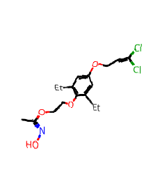 CCc1cc(OCC=C(Cl)Cl)cc(CC)c1OCCOC(C)=NO